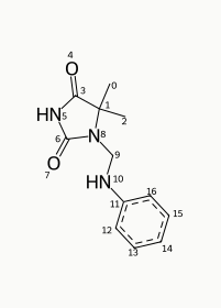 CC1(C)C(=O)NC(=O)N1CNc1ccccc1